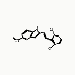 COc1ccc2[nH]c(C=Cc3c(Cl)cccc3Cl)cc2c1